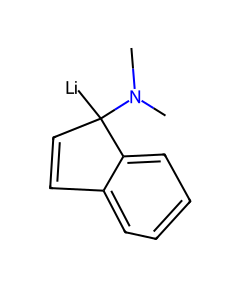 [Li][C]1(N(C)C)C=Cc2ccccc21